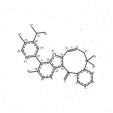 C=C1c2ccccc2C(C)(C)C/C=C\c2oc3c(-c4cc(C(C)C)c(C)cn4)c(C)ccc3c21